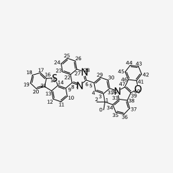 CC1(C)c2cc(-c3nc(-c4cccc5c4sc4ccccc45)c4ccccc4n3)ccc2-n2c3c1cccc3c1oc3ccccc3c12